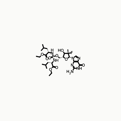 CCOC(=O)[C@H](CC(C)C)NP(=O)(N[C@@H](CC(C)C)C(=O)OCC)OC[C@H]1O[C@@H](n2cnc3c(=O)[nH]c(N)nc32)[C@@](C)(F)C1O